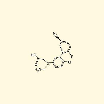 N#Cc1ccc(F)c(-c2cc([C@H](CN)CC(=O)O)ccc2Cl)c1